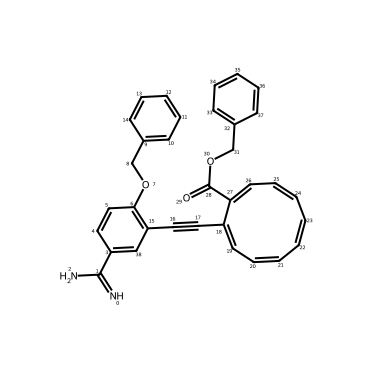 N=C(N)c1ccc(OCc2ccccc2)c(C#Cc2ccccccccc2C(=O)OCc2ccccc2)c1